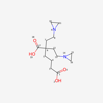 O=C(O)CCCC(CCN1CC1)(CCN1CC1)C(=O)O